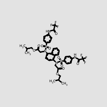 CC(C)COC(=O)CN(c1ccc(N(CC(=O)OCC(C)C)S(=O)(=O)c2ccc(NC(=O)C(F)(F)F)cc2)c2ccccc12)S(=O)(=O)c1ccc(NC(=O)C(F)(F)F)cc1